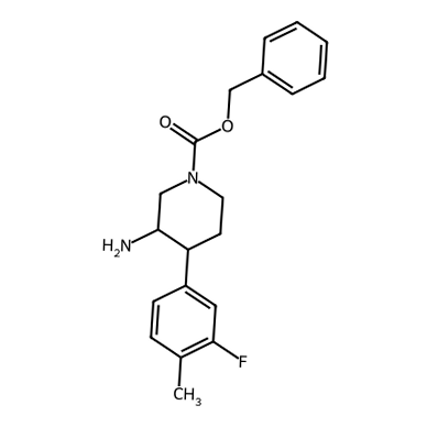 Cc1ccc(C2CCN(C(=O)OCc3ccccc3)CC2N)cc1F